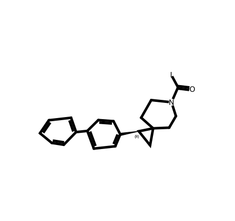 O=C(I)N1CCC2(CC1)C[C@H]2c1ccc(-c2ccccc2)cc1